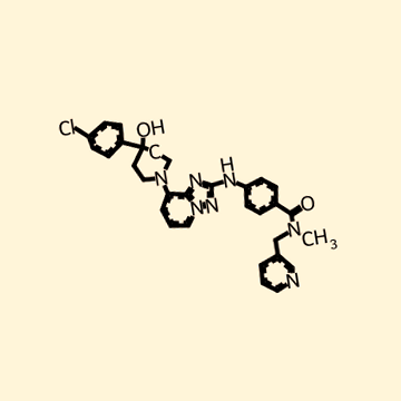 CN(Cc1cccnc1)C(=O)c1ccc(Nc2nc3c(N4CCC(O)(c5ccc(Cl)cc5)CC4)cccn3n2)cc1